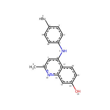 CCCCc1ccc(Nc2cc(C)nc3cc(O)ccc23)cc1